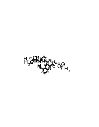 CC(=O)OCc1cc2nc(N3CCC[C@@H](NC(=O)OC(C)(C)C)C3)n(Cc3ccccc3C#N)c(=O)c2s1